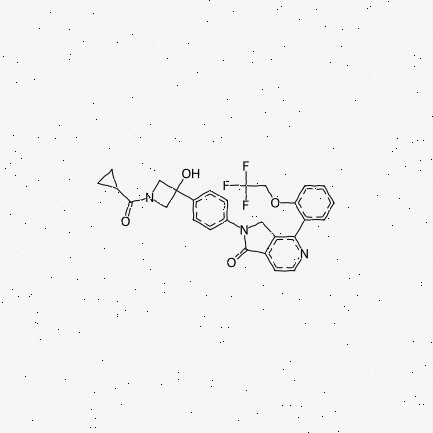 O=C(C1CC1)N1CC(O)(c2ccc(N3Cc4c(ccnc4-c4ccccc4OCC(F)(F)F)C3=O)cc2)C1